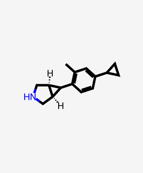 Cc1cc(C2CC2)ccc1C1[C@H]2CNC[C@@H]12